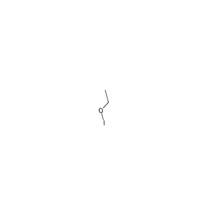 CCOI